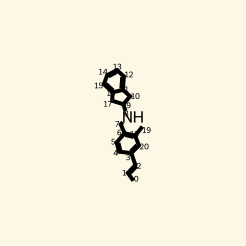 C/C=C/c1ccc(CNC2Cc3ccccc3C2)c(C)c1